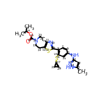 Cc1cc(Nc2ccc(-c3nc4c(s3)CCN(C(=O)OC(C)C)CC4)c(SC3CC3)c2)n[nH]1